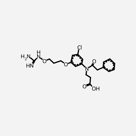 N=C(N)NOCCCOc1cc(Cl)cc(N(CCC(=O)O)C(=O)Cc2ccccc2)c1